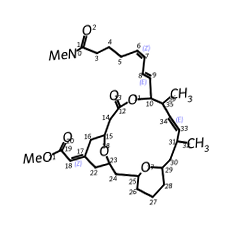 CNC(=O)CCC/C=C\C=C\C1OC(=O)CC2C/C(=C\C(=O)OC)CC(CC3CCCC(CC(C)/C=C/C1C)O3)O2